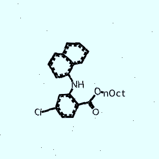 CCCCCCCCOC(=O)c1ccc(Cl)cc1Nc1cccc2ccccc12